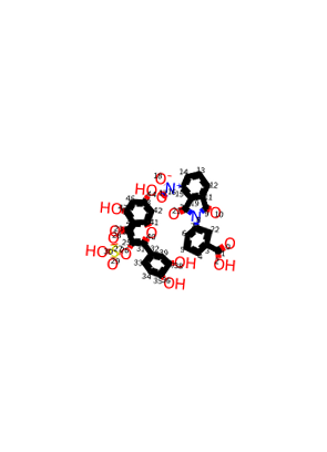 O=C(O)c1cccc(N2C(=O)c3cccc([N+](=O)[O-])c3C2=O)c1.O=c1c(OS(=O)(=O)O)c(-c2ccc(O)c(O)c2)oc2cc(O)cc(O)c12